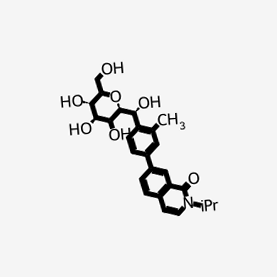 Cc1cc(-c2ccc3ccn(C(C)C)c(=O)c3c2)ccc1[C@@H](O)[C@H]1OC(CO)[C@@H](O)[C@H](O)C1O